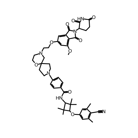 COc1cc(OCCN2CCOC3(CCN(c4ccc(C(=O)NC5C(C)(C)C(Oc6cc(C)c(C#N)c(C)c6)C5(C)C)cc4)CC3)C2)cc2c1C(=O)N(C1CCC(=O)NC1=O)C2=O